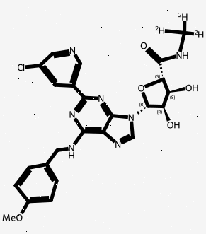 [2H]C([2H])([2H])NC(=O)[C@H]1O[C@@H](n2cnc3c(NCc4ccc(OC)cc4)nc(-c4cncc(Cl)c4)nc32)[C@H](O)[C@@H]1O